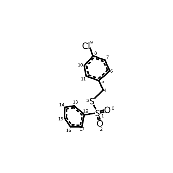 O=S(=O)(SCc1ccc(Cl)cc1)c1ccccc1